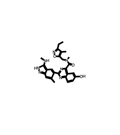 CCc1noc(CN(C)C(=O)c2nc(-c3cc4c(NC)[nH]nc4cc3C)nc3ccc(O)cc23)c1C